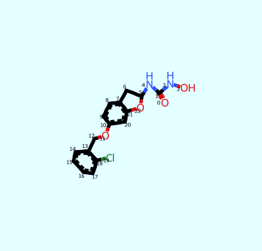 O=C(NO)NC1Cc2ccc(OCc3ccccc3Cl)cc2O1